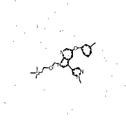 Cc1cccc(Oc2cnc3c(c2)c(-c2cnn(C)c2)cn3COCC[Si](C)(C)C)c1